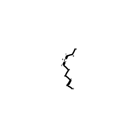 CC=CCCC=C=CCC